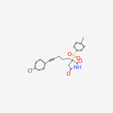 Cc1ccc(S(=O)(=O)C2(CCCC#Cc3ccc(Cl)cc3)CC(=O)NC2=O)cc1